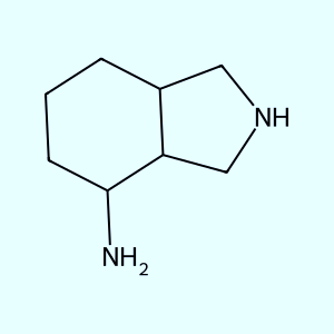 NC1CCCC2CNCC12